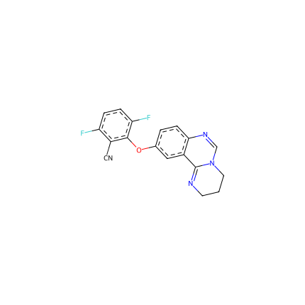 N#Cc1c(F)ccc(F)c1Oc1ccc2c(c1)C1=NCCCN1C=N2